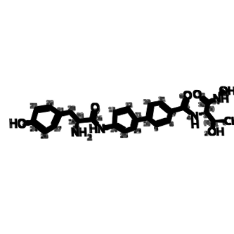 C[C@@H](O)[C@H](NC(=O)c1ccc(-c2ccc(NC(=O)[C@@H](N)Cc3ccc(O)cc3)cc2)cc1)C(=O)NO